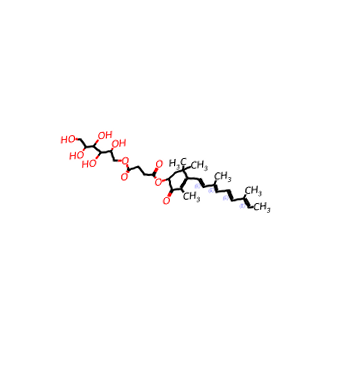 C/C=C(C)/C=C/C=C(C)/C=C/C1=C(C)C(=O)C(OC(=O)CCC(=O)OCC(O)C(O)C(O)C(O)CO)CC1(C)C